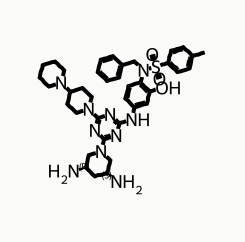 Cc1ccc(S(=O)(=O)N(Cc2ccccc2)c2ccc(Nc3nc(N4CCC(N5CCCCC5)CC4)nc(N4C[C@H](N)C[C@H](N)C4)n3)cc2O)cc1